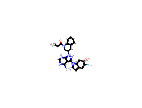 C=CC(=O)N1CC(n2nc(-n3ccc4cc(F)c(O)cc43)c3c(N)ncnc32)Cc2ccccc21